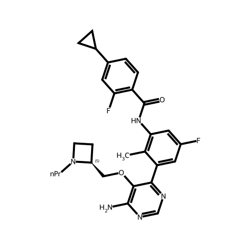 CCCN1CC[C@H]1COc1c(N)ncnc1-c1cc(F)cc(NC(=O)c2ccc(C3CC3)cc2F)c1C